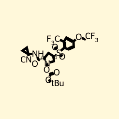 CC(C)(C)OC(=O)ON1C[C@H](S(=O)(=O)c2ccc(OCC(F)(F)F)cc2C(F)(F)F)C[C@H]1C(=O)NC1(C#N)CC1